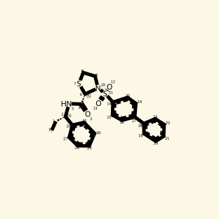 [CH2]C[C@H](NC(=O)[C@@H]1SCCN1S(=O)(=O)c1ccc(-c2ccccc2)cc1)c1ccccc1